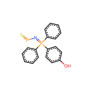 Oc1ccc(P(=NP=S)(c2ccccc2)c2ccccc2)cc1